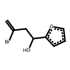 C=C(Br)CC(O)c1ccco1